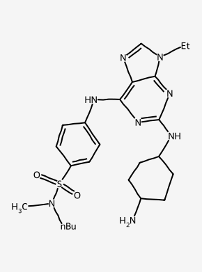 CCCCN(C)S(=O)(=O)c1ccc(Nc2nc(NC3CCC(N)CC3)nc3c2ncn3CC)cc1